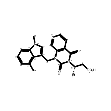 CC[C@@H](CC(=O)O)n1c(=O)c2ccncc2n(Cc2cn(C)c3cccc(C)c23)c1=O